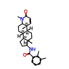 Cc1cccc(C(=O)NC2CC[C@H]3[C@@H]4CCC5N(C)C(=O)C=C[C@]5(C)[C@@H]4CC[C@]23C)c1C